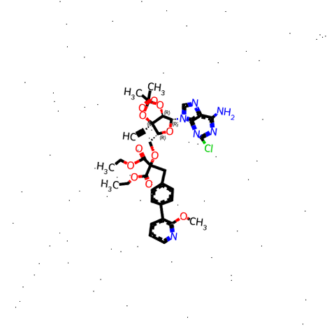 C#C[C@@]1(OC(C)=O)[C@@H](COC(Cc2ccc(-c3cccnc3OC)cc2)(C(=O)OCC)C(=O)OCC)O[C@@H](n2cnc3c(N)nc(Cl)nc32)[C@@H]1OC(C)=O